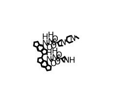 CCN1CCC(N2CCC(S(=O)(=O)NC(=O)Nc3c4c(cc5c3CCC5C3CCc5cc6c(c(NC(=O)NS(=O)(=O)C7CNC7)c53)CCC6)CCC4)C2)CC1